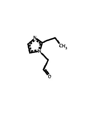 CCc1nccn1CC=O